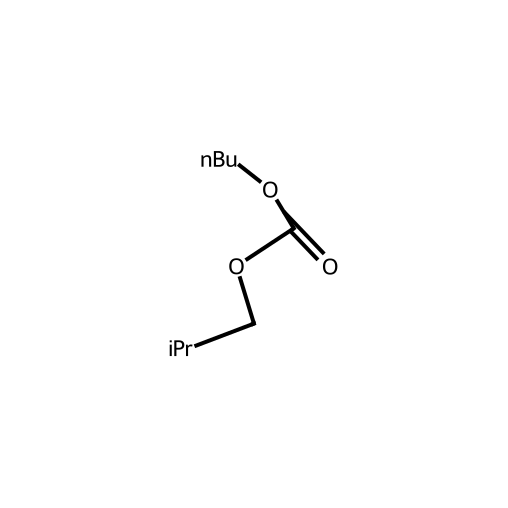 [CH2]CCCOC(=O)OCC(C)C